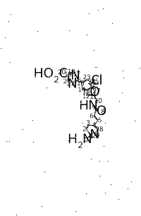 Nc1ccc(C=CC(=O)NCc2cc3cc(-c4ncc(C(=O)O)cn4)cc(Cl)c3o2)cn1